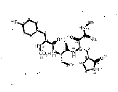 CC(C)C[C@H](NC(=O)[C@H](CN1CCC(F)CC1)NC(=O)O)C(=O)N[C@@H](C[C@@H]1CCNC1=O)C(=O)C(=O)NC(C)C